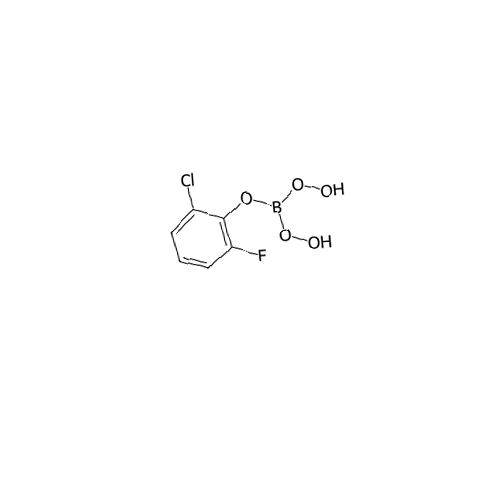 OOB(OO)Oc1c(F)cccc1Cl